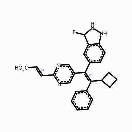 O=C(O)/C=C/c1ncc(/C(=C(\c2ccccc2)C2CCC2)c2ccc3c(c2)C(F)NN3)cn1